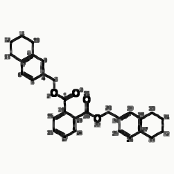 O=C(OCc1ccc2c(c1)CCCC2)c1ccccc1C(=O)OCc1ccc2c(c1)CCCC2